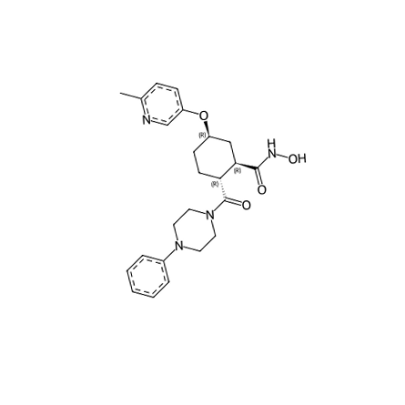 Cc1ccc(O[C@@H]2CC[C@@H](C(=O)N3CCN(c4ccccc4)CC3)[C@H](C(=O)NO)C2)cn1